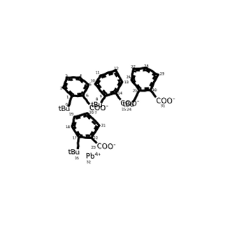 CC(C)(C)c1ccccc1C(=O)[O-].CC(C)(C)c1ccccc1C(=O)[O-].CC(C)(C)c1ccccc1C(=O)[O-].CC(C)(C)c1ccccc1C(=O)[O-].[Pb+4]